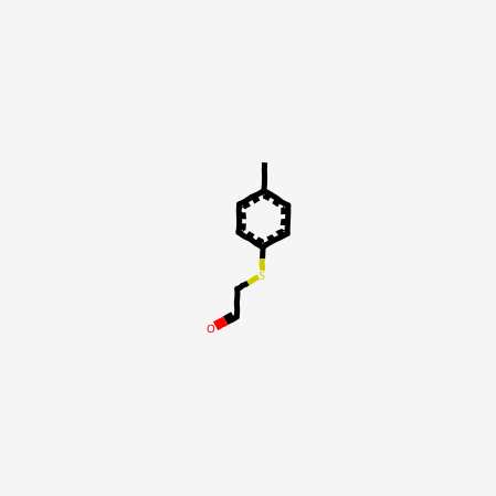 Cc1ccc(SCC=O)cc1